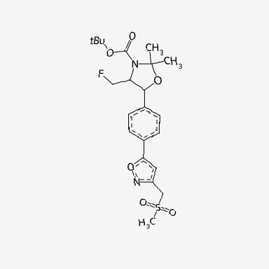 CC(C)(C)OC(=O)N1C(CF)C(c2ccc(-c3cc(CS(C)(=O)=O)no3)cc2)OC1(C)C